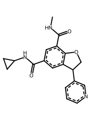 CNC(=O)c1cc(C(=O)NC2CC2)cc2c1OCC2c1cccnc1